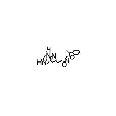 CC1=C(CN(C)C(=O)/C=C/c2cnc3c(c2)CN[C@H](C)CN3)OC2C=CC=CC12